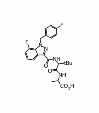 C[C@@H](NC(=O)[C@@H](NC(=O)c1nn(Cc2ccc(F)cc2)c2c(F)cccc12)C(C)(C)C)C(=O)O